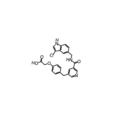 O=C(O)COc1ccc(Cc2cncc(C(=O)NCc3ccc4[nH]cc(Cl)c4c3)c2)cc1